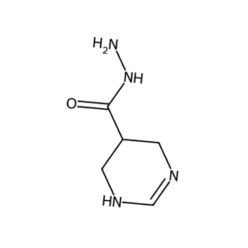 NNC(=O)C1CN=CNC1